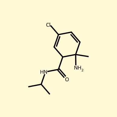 CC(C)NC(=O)C1C=C(Cl)C=CC1(C)N